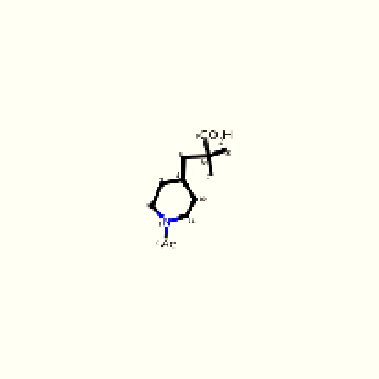 CC(=O)N1CCC(CC(C)(C)C(=O)O)CC1